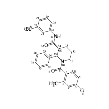 Cc1cc(Cl)cnc1C(=O)N1CCC[C@H](C(=O)Nc2cccc(C(C)(C)C)c2)C1c1ccccc1